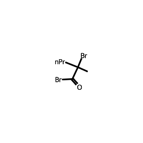 CCCC(C)(Br)C(=O)Br